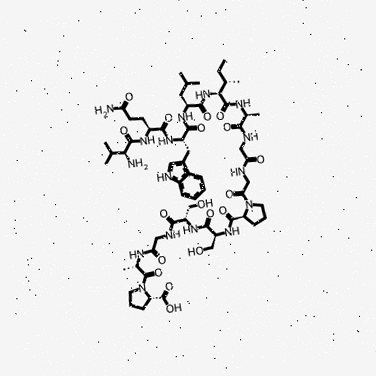 CC[C@H](C)[C@H](NC(=O)[C@H](CC(C)C)NC(=O)[C@H](Cc1c[nH]c2ccccc12)NC(=O)[C@H](CCC(N)=O)NC(=O)[C@@H](N)C(C)C)C(=O)N[C@@H](C)C(=O)NCC(=O)NCC(=O)N1CCC[C@H]1C(=O)N[C@@H](CO)C(=O)N[C@@H](CO)C(=O)NCC(=O)N[C@@H](C)C(=O)N1CCC[C@H]1C(=O)O